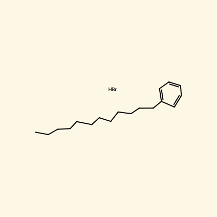 Br.CCCCCCCCCCCCc1ccccc1